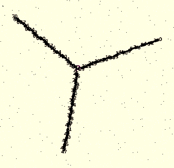 C#CC#CC#CC#CC#CC#CC#CC#CC#CC#CC#CC#CP(C#CC#CC#CC#CC#CC#CC#CC#CC#CC#CC#CC)C#CC#CC#CC#CC#CC#CC#CC#CC#CC#CC#CC